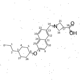 CCCC1CCC(Oc2ccc3cc(CN4CC(C(=O)O)C4)ccc3c2)CC1